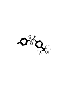 Cc1ccc(S(=O)(=O)N(C)c2ccc(C(O)(C(F)(F)F)C(F)(F)F)cc2)cc1